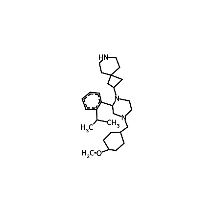 COC1CCC(CN2CCN(C3CC4(CCNCC4)C3)C(c3ccccc3C(C)C)C2)CC1